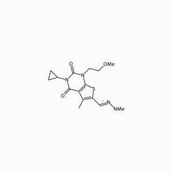 CN/N=C/c1sc2c(c1C)c(=O)n(C1CC1)c(=O)n2CCOC